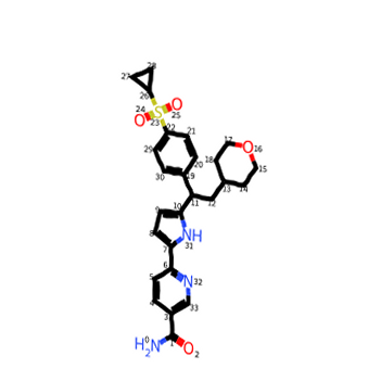 NC(=O)c1ccc(-c2ccc(C(CC3CCOCC3)c3ccc(S(=O)(=O)C4CC4)cc3)[nH]2)nc1